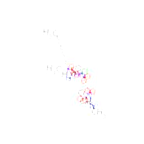 CCCCCCCCCCCCCCC(CCC)NS(=O)(=O)c1cccc(CNC(=O)OCCCOC(=O)N(Cc2ccc[n+](CC)c2)C(=O)c2ccccc2OC)c1OC.[Cl-]